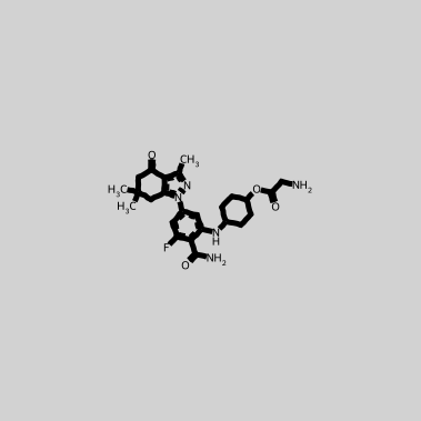 Cc1nn(-c2cc(F)c(C(N)=O)c(NC3CCC(OC(=O)CN)CC3)c2)c2c1C(=O)CC(C)(C)C2